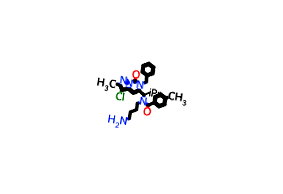 Cc1ccc(C(=O)N(CCCCN)[C@@H](c2cc3c(Cl)c(C)nn3c(=O)n2Cc2ccccc2)C(C)C)cc1